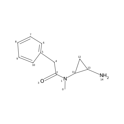 CN(C(=O)Cc1ccccc1)C1CC1N